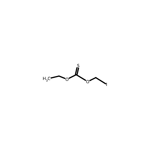 CCOC(=S)OCI